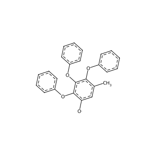 Cc1cc([O])c(Oc2ccccc2)c(Oc2ccccc2)c1Oc1ccccc1